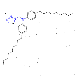 CCCCCCCCCc1ccc(N(Cn2ccnn2)c2ccc(CCCCCCCCC)cc2)cc1